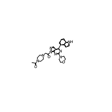 CC(=O)N1CCN(CC(=O)n2ncc3c(-c4cccc5[nH]ccc45)nc(N4CCOCC4)nc32)CC1